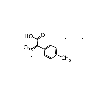 Cc1ccc(C(=S=O)C(=O)O)cc1